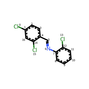 Clc1ccc(/C=N/c2ccccc2Cl)c(Cl)c1